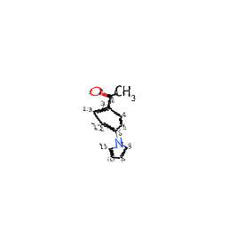 CC(=O)c1ccc(-n2cccc2)cc1